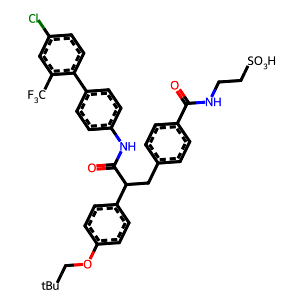 CC(C)(C)COc1ccc(C(Cc2ccc(C(=O)NCCS(=O)(=O)O)cc2)C(=O)Nc2ccc(-c3ccc(Cl)cc3C(F)(F)F)cc2)cc1